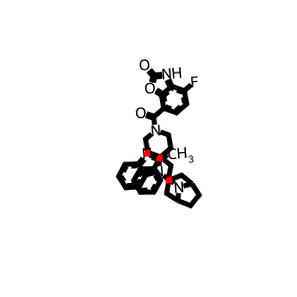 Cc1nc2ccccc2n1C1CC2CCC(C1)N2CCC1(c2ccccc2)CCN(C(=O)c2ccc(F)c3[nH]c(=O)oc23)CC1